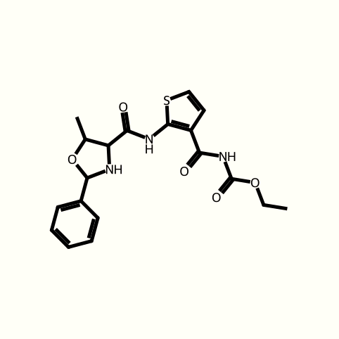 CCOC(=O)NC(=O)c1ccsc1NC(=O)C1NC(c2ccccc2)OC1C